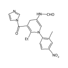 CCC1=C(C(=O)n2ccnc2)CC(NC=O)=CN1c1ccc([N+](=O)[O-])cc1C